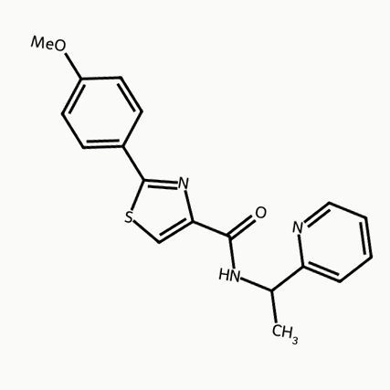 COc1ccc(-c2nc(C(=O)NC(C)c3ccccn3)cs2)cc1